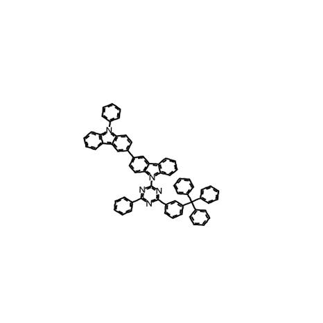 c1ccc(-c2nc(-c3cccc(C(c4ccccc4)(c4ccccc4)c4ccccc4)c3)nc(-n3c4ccccc4c4cc(-c5ccc6c(c5)c5ccccc5n6-c5ccccc5)ccc43)n2)cc1